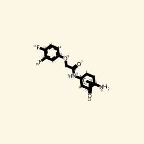 NC12CCC(NC(=O)COc3ccc(F)c(F)c3)(CC1)CC2=O